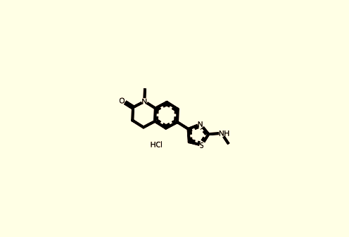 CNc1nc(-c2ccc3c(c2)CCC(=O)N3C)cs1.Cl